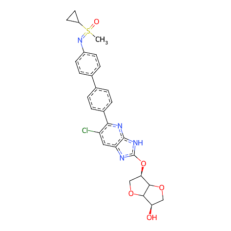 CS(=O)(=Nc1ccc(-c2ccc(-c3nc4[nH]c(O[C@@H]5COC6C5OC[C@H]6O)nc4cc3Cl)cc2)cc1)C1CC1